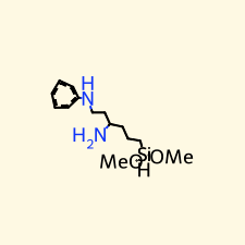 CO[SiH](CCCC(N)CCNc1ccccc1)OC